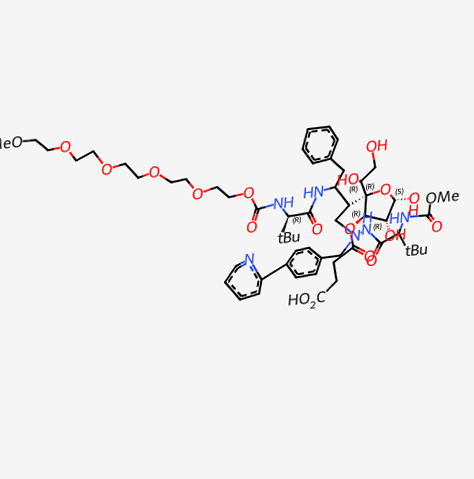 COCCOCCOCCOCCOCCOC(=O)N[C@@H](C(=O)NC(Cc1ccccc1)C(CN(Cc1ccc(-c2ccccn2)cc1)NC(=O)C(NC(=O)OC)C(C)(C)C)[C@]1([C@H](O)CO)O[C@H](O)[C@H](O)[C@H]1OC(=O)CCC(=O)O)C(C)(C)C